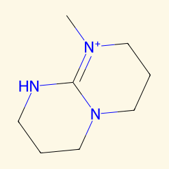 C[N+]1=C2NCCCN2CCC1